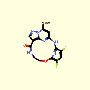 CNc1cc2nc3c(cnn13)C(=O)NCCOc1nc(c(F)cc1F)N2